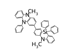 CN1c2ccccc2N(c2ccccc2)c2cc(-c3ccc4c(c3)[Si](c3ccccc3)(c3ccccc3)c3ccccc3N4C)ccc21